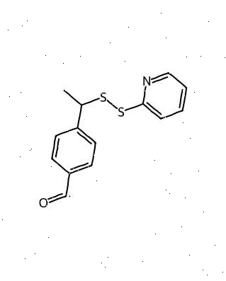 CC(SSc1ccccn1)c1ccc([C]=O)cc1